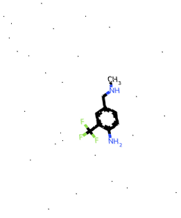 CNCc1ccc(N)c(C(F)(F)F)c1